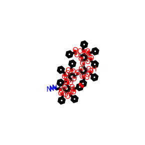 [N-]=[N+]=NCCO[C@@H]1O[C@H](CO[C@@H]2O[C@H](CO[C@@H]3O[C@H](CO[C@@H]4O[C@H](COC(=O)c5ccccc5)[C@@H](OC(=O)c5ccccc5)[C@H](OC(=O)c5ccccc5)[C@H]4OC(=O)c4ccccc4)[C@@H](O)[C@H](OC(=O)c4ccccc4)[C@H]3OC(=O)c3ccccc3)[C@@H](OC(=O)c3ccccc3)[C@H](OC(=O)c3ccccc3)[C@H]2OC(=O)c2ccccc2)[C@@H](OC(=O)c2ccccc2)[C@H](OC(=O)c2ccccc2)[C@H]1OC(=O)c1ccccc1